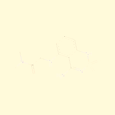 CN(C)C(=O)CNc1cccc2c1C(N)=NS(=O)(=O)N2